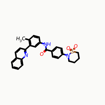 Cc1ccc(NC(=O)c2ccc(N3CCCCS3(=O)=O)cc2)cc1-c1ccc2ccccc2n1